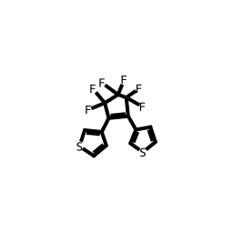 FC1(F)C(c2ccsc2)=C(c2ccsc2)C(F)(F)C1(F)F